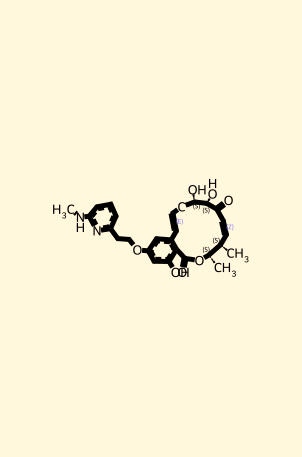 CNc1cccc(CCOc2cc(O)c3c(c2)/C=C/C[C@H](O)[C@H](O)C(=O)/C=C\[C@H](C)[C@H](C)OC3=O)n1